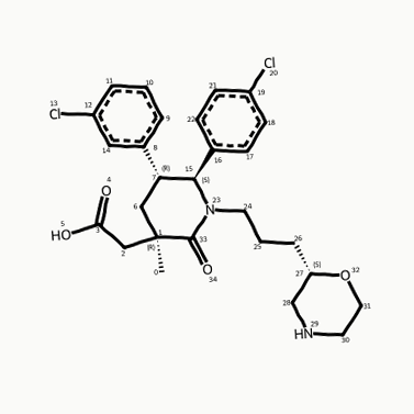 C[C@]1(CC(=O)O)C[C@H](c2cccc(Cl)c2)[C@@H](c2ccc(Cl)cc2)N(CCC[C@H]2CNCCO2)C1=O